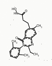 CCc1nc2cc(C)c(CCC(=O)NO)cc2c(=O)n1-c1c(C)cccc1C